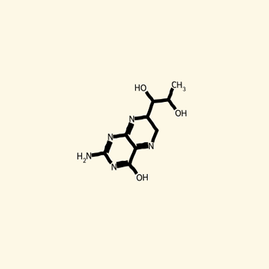 CC(O)C(O)C1CN=c2c(O)nc(N)nc2=N1